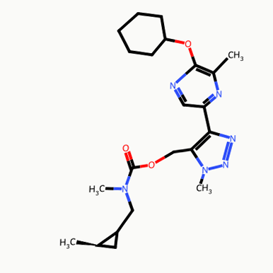 Cc1nc(-c2nnn(C)c2COC(=O)N(C)CC2C[C@H]2C)cnc1OC1CCCCC1